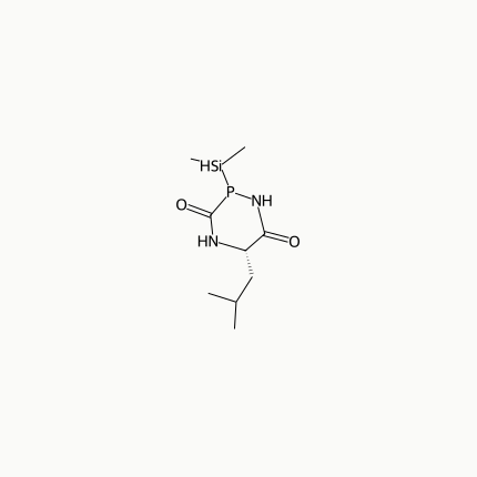 CC(C)C[C@@H]1NC(=O)P([SiH](C)C)NC1=O